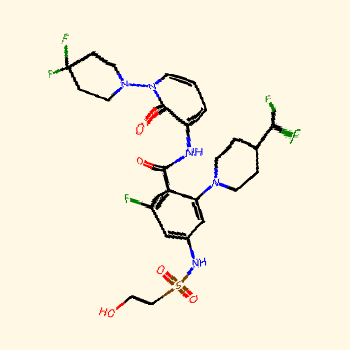 O=C(Nc1cccn(N2CCC(F)(F)CC2)c1=O)c1c(F)cc(NS(=O)(=O)CCO)cc1N1CCC(C(F)F)CC1